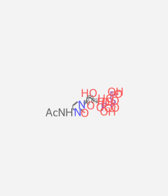 CC(=O)Nc1ccn([C@H]2C[C@@H](O)[C@@H](COP(=O)(O)OP(=O)(O)OP(=O)(O)O)O2)c(=O)n1